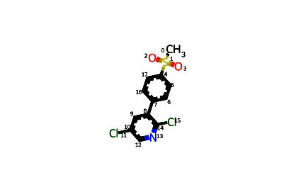 CS(=O)(=O)c1ccc(-c2cc(Cl)cnc2Cl)cc1